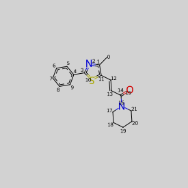 Cc1nc(-c2ccccc2)sc1/C=C/C(=O)N1CCCCC1